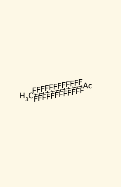 CC(=O)C(F)(F)C(F)(F)C(F)(F)C(F)(F)C(F)(F)C(F)(F)C(F)(F)C(F)(F)C(F)(F)C(F)(F)C(F)(F)C(C)(F)F